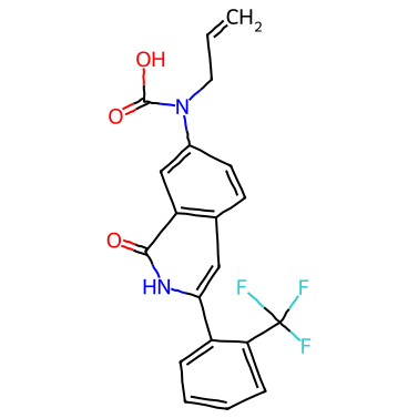 C=CCN(C(=O)O)c1ccc2cc(-c3ccccc3C(F)(F)F)[nH]c(=O)c2c1